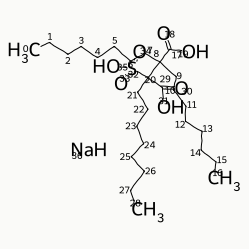 CCCCCCCCC(CCCCCCCC)(C(=O)O)C(CCCCCCCC)(C(=O)O)S(=O)(=O)O.[NaH]